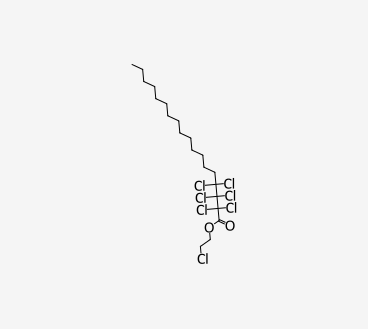 CCCCCCCCCCCCCCC(Cl)(Cl)C(Cl)(Cl)C(Cl)(Cl)C(=O)OCCCl